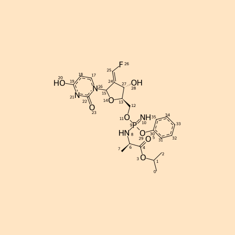 CC(C)OC(=O)[C@@H](C)NP(=N)(OC[C@H]1OC(n2ccc(O)nc2=O)/C(=C/F)[C@@H]1O)Oc1ccccc1